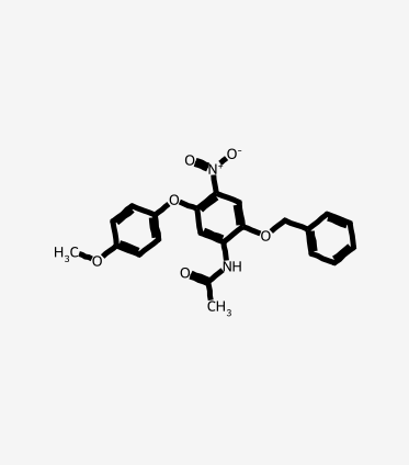 COc1ccc(Oc2cc(NC(C)=O)c(OCc3ccccc3)cc2[N+](=O)[O-])cc1